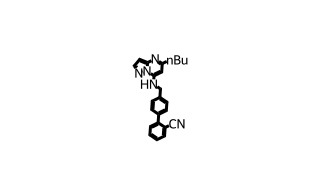 CCCCc1cc(NCc2ccc(-c3ccccc3C#N)cc2)n2nccc2n1